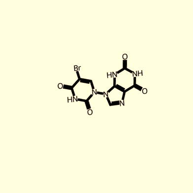 O=c1[nH]c(=O)c2ncn(-n3cc(Br)c(=O)[nH]c3=O)c2[nH]1